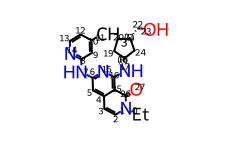 CCn1ccc2cc(Nc3cc(C)ccn3)nc(N[C@@H]3CC[C@H](CO)C3)c2c1=O